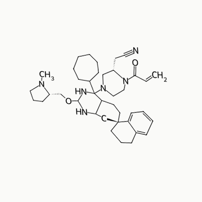 C=CC(=O)N1CCN(C2(C3CCCCCC3)NC(OC[C@@H]3CCCN3C)NC3C[C@@]4(CCCc5ccccc54)CCC32)C[C@@H]1CC#N